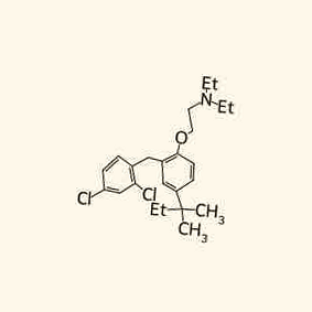 CCN(CC)CCOc1ccc(C(C)(C)CC)cc1Cc1ccc(Cl)cc1Cl